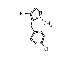 Cn1ncc(Br)c1Cc1ccc(Cl)cc1